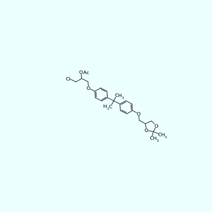 CC(=O)OC(CCl)COc1ccc(C(C)(C)c2ccc(OCC3COC(C)(C)O3)cc2)cc1